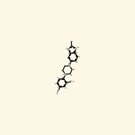 Cc1nc2cc(N3CCN(c4ccc(F)cc4F)CC3)ccc2s1